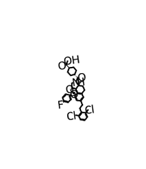 O=C(O)[C@H]1CC[C@H](C(=O)N2CC[C@@]3(S(=O)(=O)c4ccc(F)cc4)c4ccc(CCc5c(Cl)cccc5Cl)cc4CC[C@@H]23)CC1